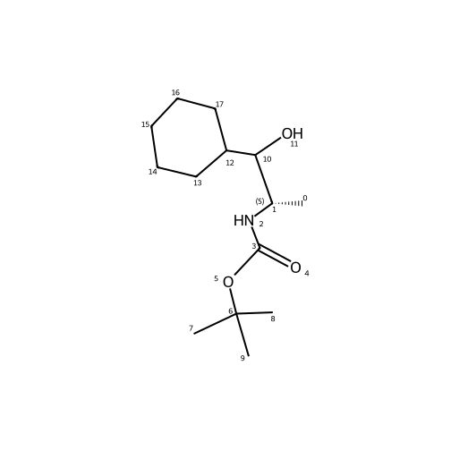 C[C@H](NC(=O)OC(C)(C)C)C(O)C1CCCCC1